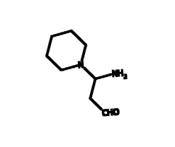 NC(CC=O)N1CCCCC1